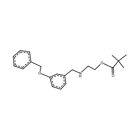 CC(C)(C)C(=O)OCCNCc1cccc(OCc2ccccc2)c1